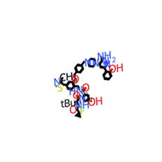 Cc1ncsc1-c1ccc(CNC(=O)[C@@H]2C[C@@H](O)CN2C(=O)[C@@H](NC(=O)C2(F)CC2)C(C)(C)C)c(OCc2ccc(CN3CCN(c4cc(-c5ccccc5O)nnc4N)CC3)cc2)c1